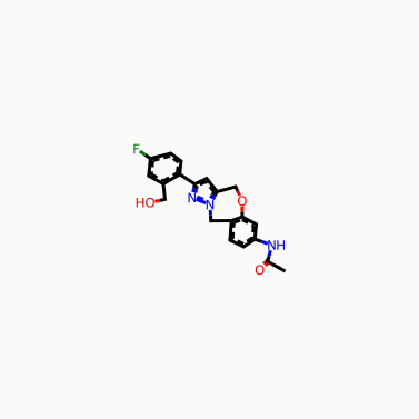 CC(=O)Nc1ccc2c(c1)OCc1cc(-c3ccc(F)cc3CO)nn1C2